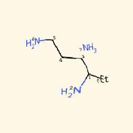 CCC(N)CCCN.N